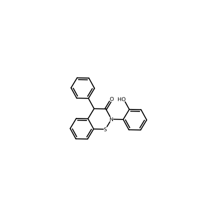 O=C1C(c2ccccc2)c2ccccc2SN1c1ccccc1O